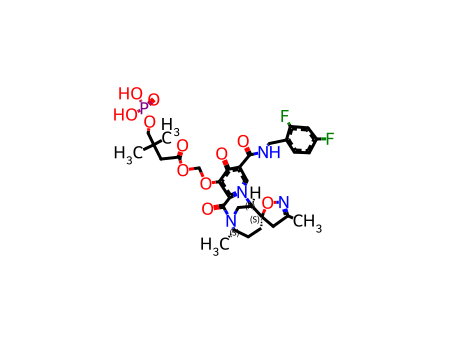 CC1=NO[C@@]2(CC[C@H](C)N3C[C@H]2n2cc(C(=O)NCc4ccc(F)cc4F)c(=O)c(OCOC(=O)CC(C)(C)COP(=O)(O)O)c2C3=O)C1